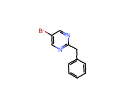 Brc1cnc(Cc2ccccc2)nc1